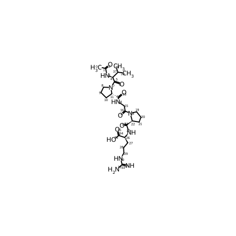 CC(=O)N[C@H](C(=O)N1CCC[C@H]1C(=O)NCC(=O)N1CCC[C@H]1C(=O)N[C@@H](CCCNC(=N)N)C(=O)O)C(C)C